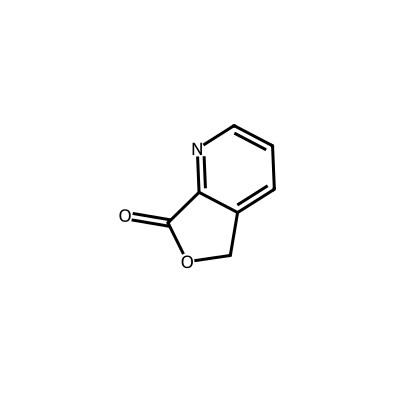 O=C1OCc2cccnc21